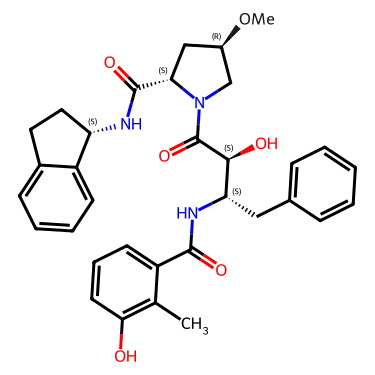 CO[C@@H]1C[C@@H](C(=O)N[C@H]2CCc3ccccc32)N(C(=O)[C@@H](O)[C@H](Cc2ccccc2)NC(=O)c2cccc(O)c2C)C1